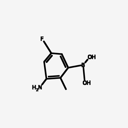 Cc1c(N)cc(F)cc1B(O)O